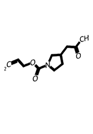 C=CCOC(=O)N1CCC(CC(C)=O)C1